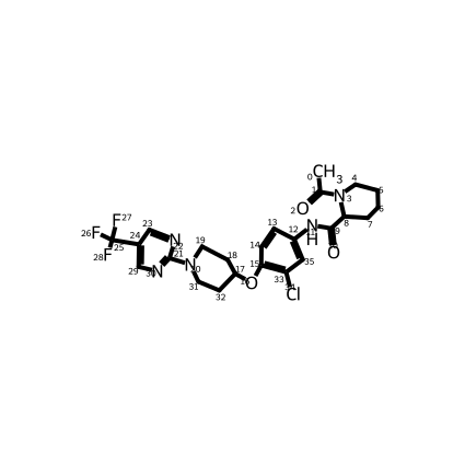 CC(=O)N1CCCCC1C(=O)Nc1ccc(OC2CCN(c3ncc(C(F)(F)F)cn3)CC2)c(Cl)c1